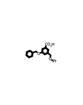 CC(C)OCc1cc(OCc2ccccc2)cc(C(=O)O)c1